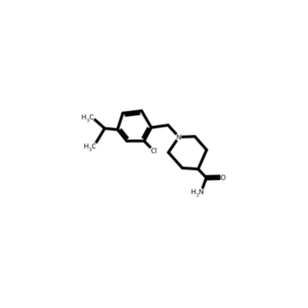 CC(C)c1ccc(CN2CCC(C(N)=O)CC2)c(Cl)c1